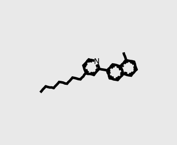 CCCCCCCc1ccnc(-c2ccc3cccc(C)c3c2)c1